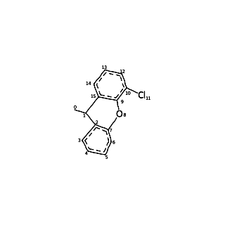 CC1c2ccccc2Oc2c(Cl)cccc21